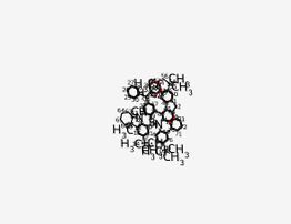 CC(C)(C)c1ccc(N2B3c4cc(C(C)(C)C)cc5c4N(c4cc(C(c6ccccc6)c6ccccc6)cc(c43)-c3c2ccc2c3-c3cc4c(cc3C2)C(C)(C)CCC4(C)C)C2(C)CCCCC52C)c(-c2ccccc2)c1